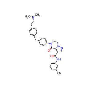 CN(C)CCc1ccc(Cc2ccc(N3CCn4ncc(C(=O)Nc5cccc(C#N)c5)c4C3=O)cc2)cc1